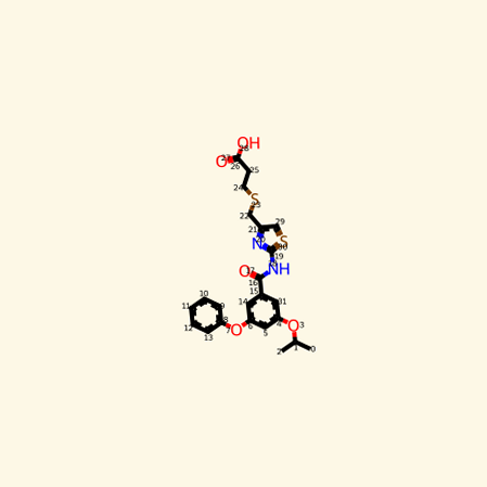 CC(C)Oc1cc(Oc2ccccc2)cc(C(=O)Nc2nc(CSCCC(=O)O)cs2)c1